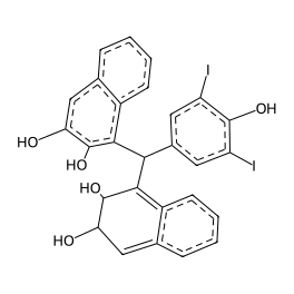 Oc1cc2ccccc2c(C(C2=c3ccccc3=CC(O)C2O)c2cc(I)c(O)c(I)c2)c1O